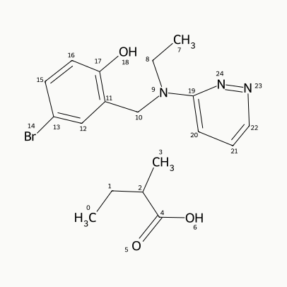 CCC(C)C(=O)O.CCN(Cc1cc(Br)ccc1O)c1cccnn1